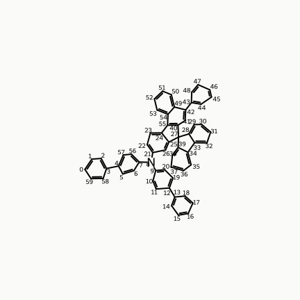 c1ccc(-c2ccc(N(c3ccc(-c4ccccc4)cc3)c3ccc4c(c3)C3(c5ccccc5-c5ccccc53)c3cc(-c5ccccc5)c5ccccc5c3-4)cc2)cc1